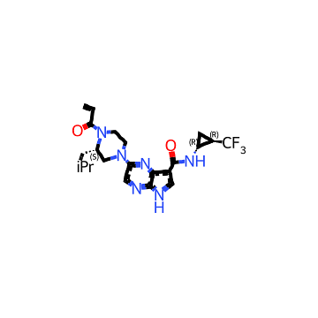 C=CC(=O)N1CCN(c2cnc3[nH]cc(C(=O)N[C@@H]4C[C@H]4C(F)(F)F)c3n2)C[C@@H]1CC(C)C